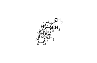 CC[C@@H]1CC[C@H]2[C@@H]3C=CC4=CCC=C[C@]4(C)[C@H]3CC[C@]12C